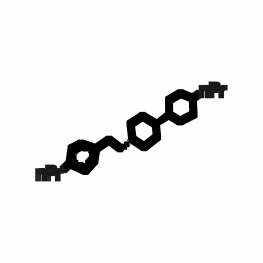 CCCc1ccc(CC[C@H]2CC[C@H](C3CCC(CCC)CC3)CC2)cc1